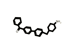 NC1CCC(Cc2ccc(-c3ccc(C(=O)c4ccccc4)cc3)cc2)CC1